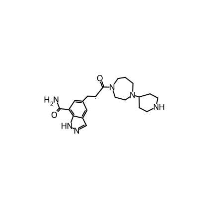 NC(=O)c1cc(C[CH]C(=O)N2CCCN(C3CCNCC3)CC2)cc2cn[nH]c12